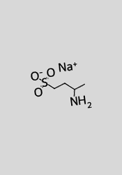 CC(N)CCS(=O)(=O)[O-].[Na+]